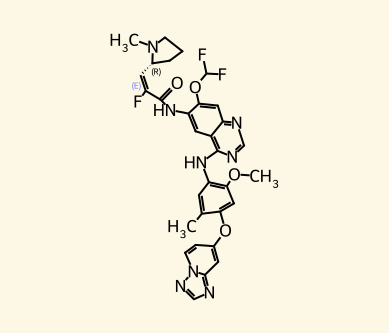 COc1cc(Oc2ccn3ncnc3c2)c(C)cc1Nc1ncnc2cc(OC(F)F)c(NC(=O)/C(F)=C\[C@H]3CCCN3C)cc12